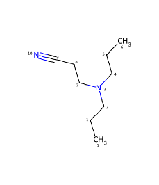 CCCN(CCC)CCC#N